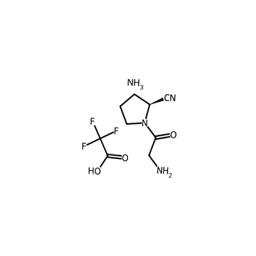 N.N#C[C@@H]1CCCN1C(=O)CN.O=C(O)C(F)(F)F